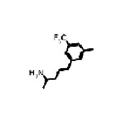 Cc1cc(CCCC(C)N)cc(C(F)(F)F)c1